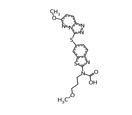 COCCCN(C(=O)O)c1nc2ccc(Sc3nnc4ccc(OC)nn34)cc2s1